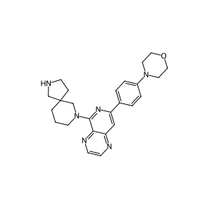 c1cnc2c(N3CCCC4(CCNC4)C3)nc(-c3ccc(N4CCOCC4)cc3)cc2n1